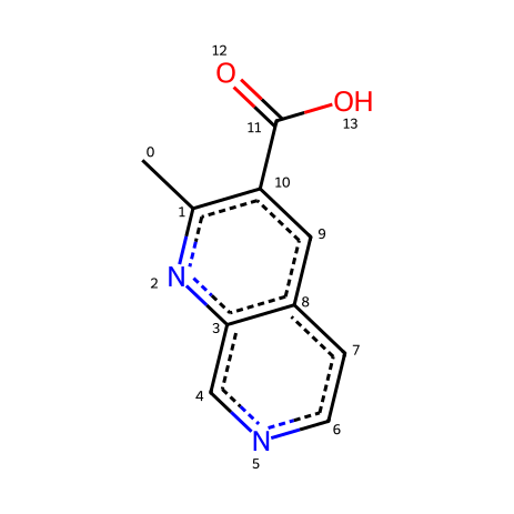 Cc1nc2cnccc2cc1C(=O)O